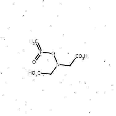 C=P(=O)ON(CC(=O)O)CC(=O)O